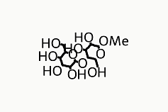 CO[C@@H]1OC(CO)[C@H](OC2OC(CO)C(O)C(O)C2O)C(O)C1O